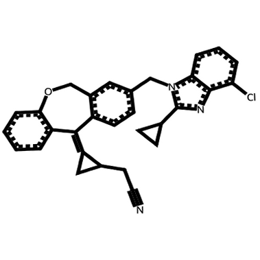 N#CCC1C/C1=C1/c2ccc(Cn3c(C4CC4)nc4c(Cl)cccc43)cc2COc2ccccc21